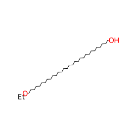 CCOCCCCCCCCCCCCCCCCCCCCCCCCCCCCCCO